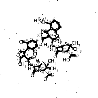 Cc1onc(-c2c(Cl)cccc2Cl)c1C(=O)N[C@@H]1C(=O)N2[C@@H]1SC(C)(C)[C@@H]2C(=O)O.Cc1onc(-c2c(Cl)cccc2Cl)c1C(=O)N[C@@H]1C(=O)N2[C@@H]1SC(C)(C)[C@@H]2C(=O)[O-].O.[Na+]